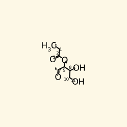 CCC(=O)OC([C]=O)C(O)CO